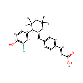 CC1(C)CC(=Cc2ccc(/C=C/C(=O)O)cc2)C(c2ccc(O)c(F)c2)C(C)(C)C1